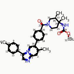 Cc1cc2ncc(-c3ccc(C#N)cc3)n2cc1-c1ccc(C(=O)N2CCC(C)(NC(=O)OC(C)(C)C)[C@H](C)C2)cc1